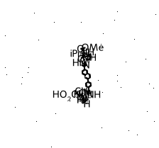 COC(=O)N[C@H](C(=O)N1[C@@H]2C[C@H]2C[C@H]1c1nc(-c2ccc3cc(-c4ccc(-c5c[nH]c([C@@H]6C[C@H]7C[C@H]7N6C(=O)[C@H](C(C)C)N(C)C(=O)O)n5)cc4)ccc3c2)c[nH]1)C(C)C